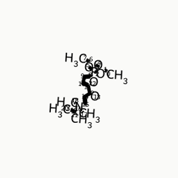 CCOP(=O)(OCC)c1ccc(C(=O)C=C[N+](C)(C)C(C)C)o1